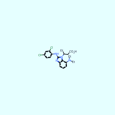 CCC(CC(=O)O)n1c(Nc2ccc(Cl)cc2Cl)nc2cccc(N(CC)CC)c21